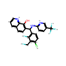 Oc1c(C(Nc2ccc(C(F)(F)F)cn2)c2ccc(Cl)c(CF)c2F)ccc2cccnc12